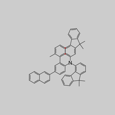 Cc1ccccc1-c1cc(-c2ccc3ccccc3c2)ccc1N(c1ccc2c(c1)C(C)(C)c1ccccc1-2)c1cccc2c1-c1ccccc1C2(C)C